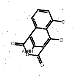 CC(=O)Nc1c2c(Cl)c3c(Cl)cccc3c1C(=O)OC2=O